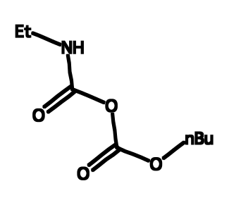 CCCCOC(=O)OC(=O)NCC